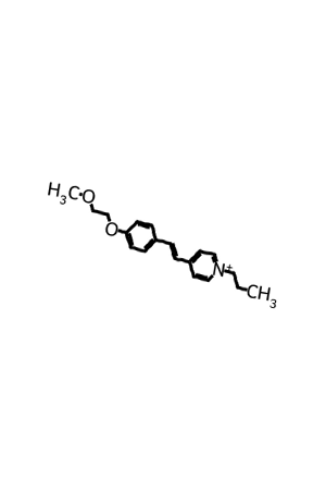 CCC[n+]1ccc(/C=C/c2ccc(OCCOC)cc2)cc1